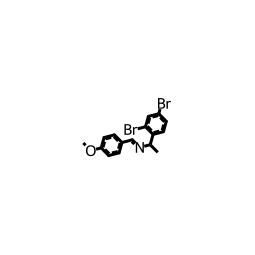 COc1ccc(C=NC(C)c2ccc(Br)cc2Br)cc1